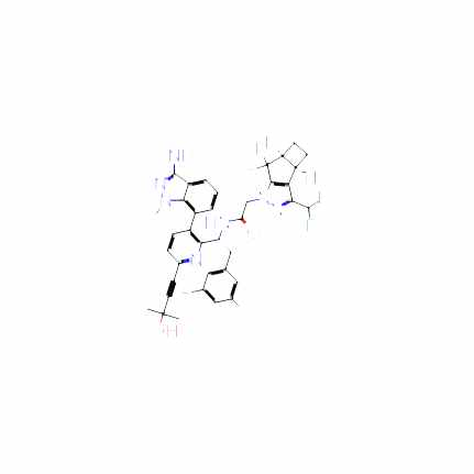 Cn1nc(N)c2cccc(-c3ccc(C#CC(C)(C)O)nc3[C@H](Cc3cc(F)cc(F)c3)NC(=O)Cn3nc(C(F)F)c4c3C(F)(F)[C@@H]3CC[C@H]43)c21